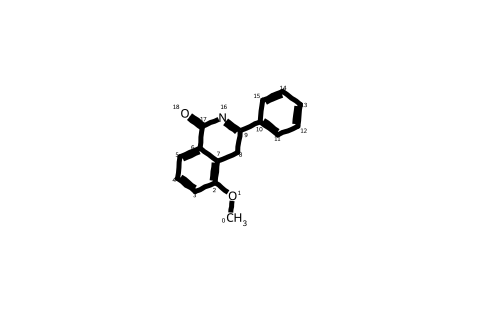 COc1cccc2c1CC(c1ccccc1)=NC2=O